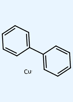 [Cu].c1ccc(-c2ccccc2)cc1